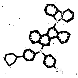 Cc1ccc(N(c2ccc(C3CCCCC3)cc2)c2cc3c4ccccc4c(N4B5C=CC=CN5c5ccccc54)cc3c3ccccc23)cc1